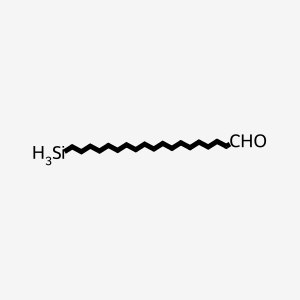 O=CCCCCCCCCCCCCCCCCCC[SiH3]